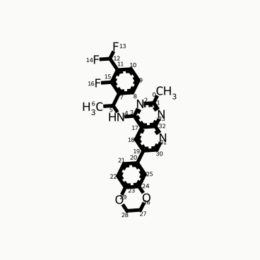 Cc1nc(NC(C)c2cccc(C(F)F)c2F)c2cc(-c3ccc4c(c3)OCCO4)cnc2n1